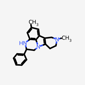 Cc1cc2c3c(c1)c1c(n3CC(c3ccccc3)N2)CCN(C)C1